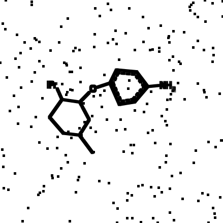 CC1CCC(C(C)C)C(Oc2ccc(N)cc2)C1